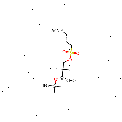 CC(=O)NCCCS(=O)(=O)OCC(C)(C)[C@H](C=O)O[Si](C)(C)C(C)(C)C